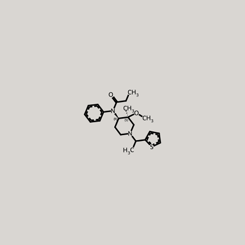 CCC(=O)N(c1ccccc1)[C@@H]1CCN(C(C)c2cccs2)C[C@]1(C)OC